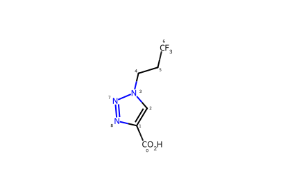 O=C(O)c1cn(CCC(F)(F)F)nn1